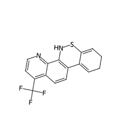 FC(F)(F)c1ccnc2c3c(ccc12)C1=CCCC=C1SN3